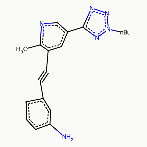 CCCCn1nnc(-c2cnc(C)c(C#Cc3cccc(N)c3)c2)n1